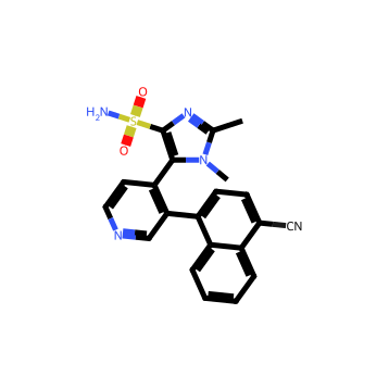 Cc1nc(S(N)(=O)=O)c(-c2ccncc2-c2ccc(C#N)c3ccccc23)n1C